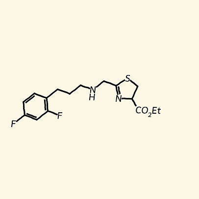 CCOC(=O)C1CSC(CNCCCc2ccc(F)cc2F)=N1